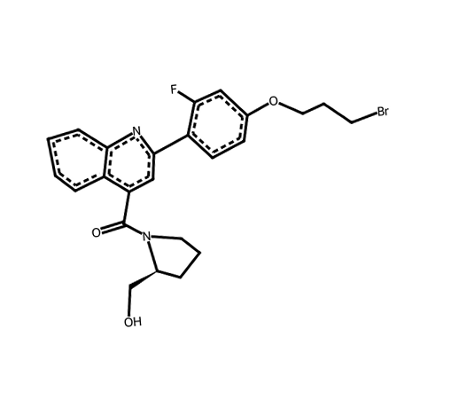 O=C(c1cc(-c2ccc(OCCCBr)cc2F)nc2ccccc12)N1CCC[C@H]1CO